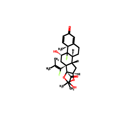 CC(C)=C(F)[C@]12C[C@H](O)C3(F)[C@@H](CCC4=CC(=O)C=C[C@@]43C)[C@@H]1C[C@H]1OC(C)(C)O[C@]12C(=O)CO